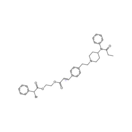 CCC(=O)N(c1ccccc1)C1CCN(CCc2ccc(/C=C/C(=O)OCCOC(=O)C(Br)c3ccccc3)cc2)CC1